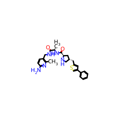 Cc1nc(N)ccc1CNC(=O)[C@H](C)NC(=O)[C@H]1C[C@H](Cc2cc(-c3ccccc3)cs2)CN1